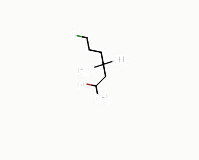 CC(Br)CC(C)(C)CCCCl